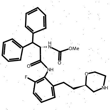 COC(=O)N[C@H](C(=O)Nc1c(F)cccc1CC[C@@H]1CNCCO1)C(c1ccccc1)c1ccccc1